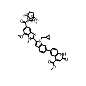 COC(=O)c1cc(=O)[nH]c2ccc(-c3ccc4cc(-c5nc6cc(C(=O)N7C[C@H]8CC[C@@H]7[C@@H]8N)cc(OC)c6n5C)n(CC5CC5)c4c3)cc12